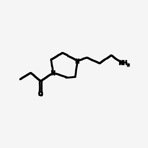 CCC(=O)N1CCN(CCCN)CC1